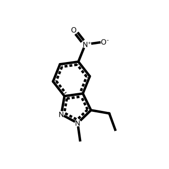 CCc1c2cc([N+](=O)[O-])ccc2nn1C